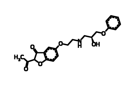 CC(=O)C1Oc2ccc(OCCNC[C@H](O)COc3ccccc3)cc2C1=O